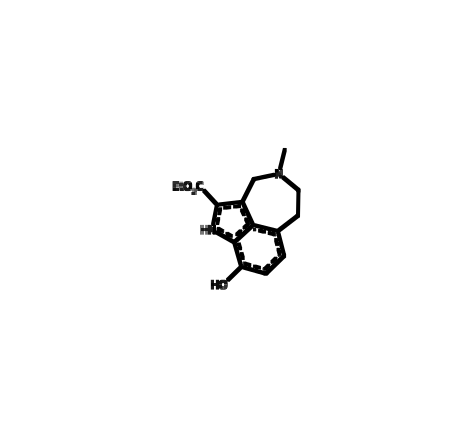 CCOC(=O)c1[nH]c2c(O)ccc3c2c1CN(C)CC3